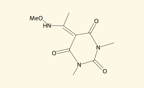 CONC(C)=C1C(=O)N(C)C(=O)N(C)C1=O